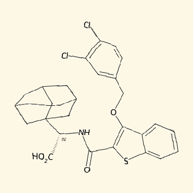 O=C(N[C@H](C(=O)O)C12CC3CC(CC(C3)C1)C2)c1sc2ccccc2c1OCc1ccc(Cl)c(Cl)c1